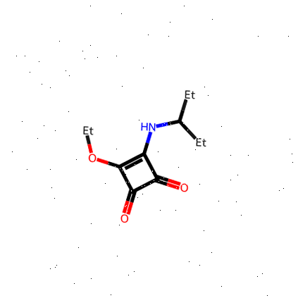 CCOc1c(NC(CC)CC)c(=O)c1=O